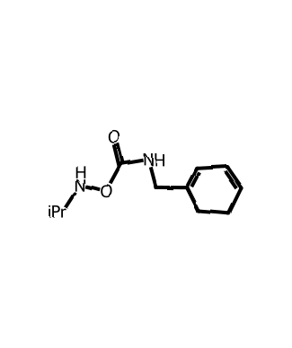 CC(C)NOC(=O)NCC1=CC=CCC1